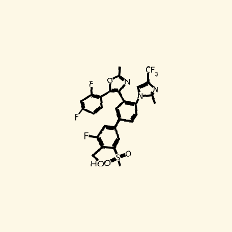 Cc1nc(-c2cc(-c3cc(F)c(CO)c(S(C)(=O)=O)c3)ccc2-n2cc(C(F)(F)F)nc2C)c(-c2ccc(F)cc2F)o1